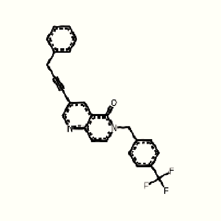 O=c1c2cc(C#CCc3ccccc3)cnc2ccn1Cc1ccc(C(F)(F)F)cc1